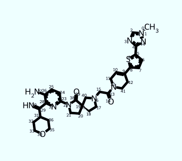 Cn1cnc(-c2ccc(C3=CCN(C(=O)CN4CC[C@]5(CCN(c6ccc(N)c(C(=N)C7CCOCC7)n6)C5=O)C4)CC3)s2)n1